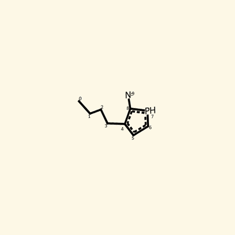 CCCCc1cc[pH]c1[N]